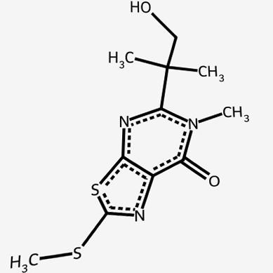 CSc1nc2c(=O)n(C)c(C(C)(C)CO)nc2s1